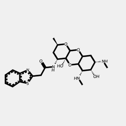 CN[C@H]1CC2OC3O[C@H](C)C[C@@H](NC(=O)Cc4nc5ccccc5s4)[C@]3(O)OC2[C@@H](NC)[C@H]1O